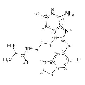 CC(O)C(=O)NCCCn1c(Cc2cc3c(cc2I)CCO3)nc2c(N)nc(F)nc21